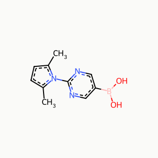 Cc1ccc(C)n1-c1ncc(B(O)O)cn1